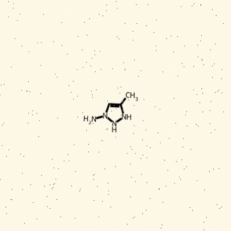 CC1=CN(N)NN1